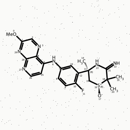 COc1cnc2c(Nc3ccc(F)c([C@]4(C)C[S@+]([O-])C(C)(C)C(=N)N4)c3)ccnc2n1